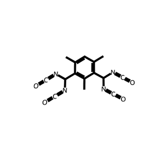 Cc1cc(C)c(C(N=C=O)N=C=O)c(C)c1C(N=C=O)N=C=O